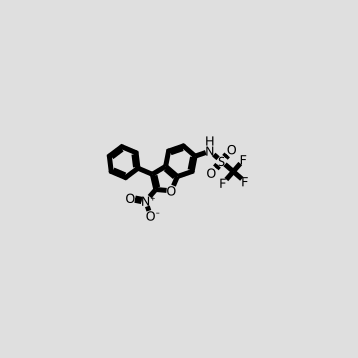 O=[N+]([O-])c1oc2cc(NS(=O)(=O)C(F)(F)F)ccc2c1-c1ccccc1